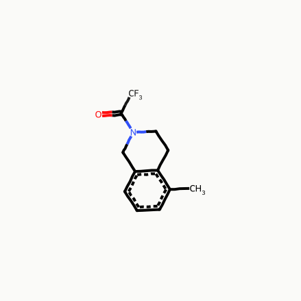 Cc1cccc2c1CCN(C(=O)C(F)(F)F)C2